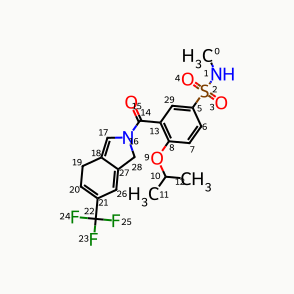 CNS(=O)(=O)c1ccc(OC(C)C)c(C(=O)N2C=C3CC=C(C(F)(F)F)C=C3C2)c1